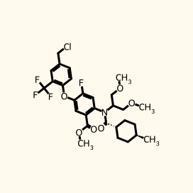 COCC(COC)N(c1cc(F)c(Oc2ccc(CCl)cc2C(F)(F)F)cc1C(=O)OC)C(=O)[C@H]1CC[C@H](C)CC1